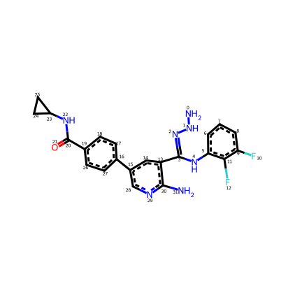 NN/N=C(\Nc1cccc(F)c1F)c1cc(-c2ccc(C(=O)NC3CC3)cc2)cnc1N